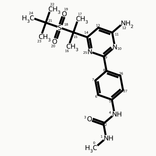 CNC(=O)Nc1ccc(-c2nc(N)cc(C(C)(C)S(=O)(=O)C(C)(C)C)n2)cc1